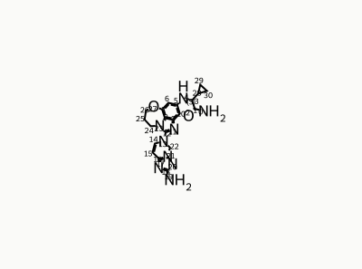 NC(=O)[C@@H](Nc1cc2c3c(c1)nc(N1C=Cc4nc(N)nn4C1)n3CCCO2)C1CC1